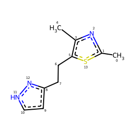 Cc1nc(C)c(CCc2cc[nH]n2)s1